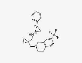 FC(F)(F)c1ccc2c(c1)CN(CC1(CN[C@H]3C[C@@H]3c3ccccc3)CC1)CC2